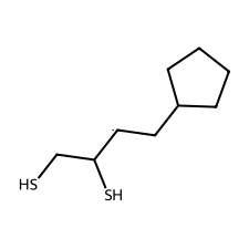 SCC(S)[CH]CC1CCCC1